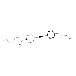 CCCCCc1ccc(C#CC23CCC([C@H]4CC[C@H](CCC)CC4)(CC2)CC3)cc1